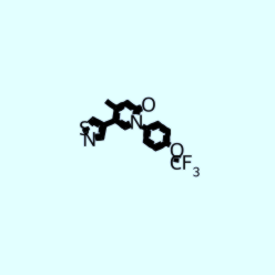 Cc1cc(=O)n(-c2ccc(OC(F)(F)F)cc2)cc1-c1cnsc1